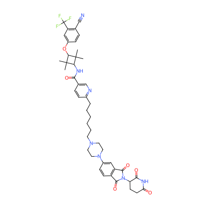 CC1(C)C(NC(=O)c2ccc(CCCCCCN3CCN(c4ccc5c(c4)C(=O)N(C4CCC(=O)NC4=O)C5=O)CC3)nc2)C(C)(C)C1Oc1ccc(C#N)c(C(F)(F)F)c1